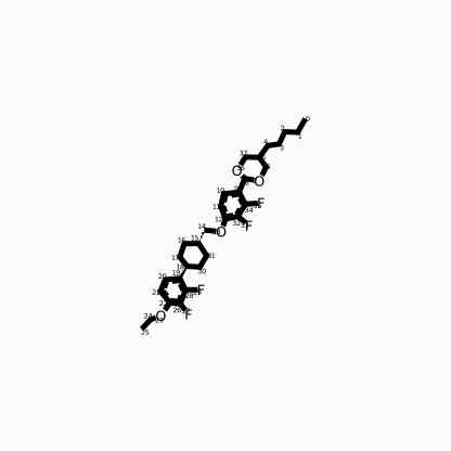 CCCCCC1COC(c2ccc(OC[C@H]3CC[C@H](c4ccc(OCC)c(F)c4F)CC3)c(F)c2F)OC1